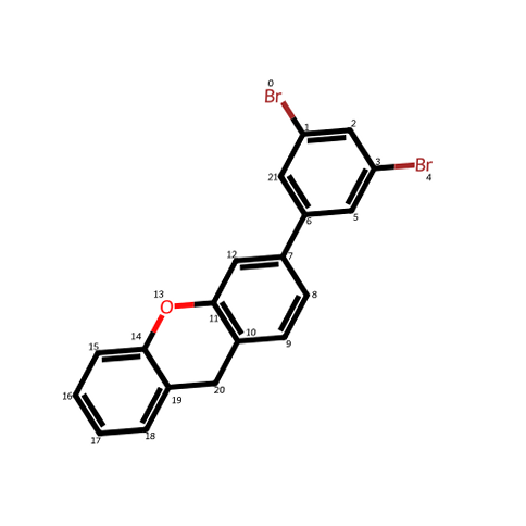 Brc1cc(Br)cc(-c2ccc3c(c2)Oc2ccccc2C3)c1